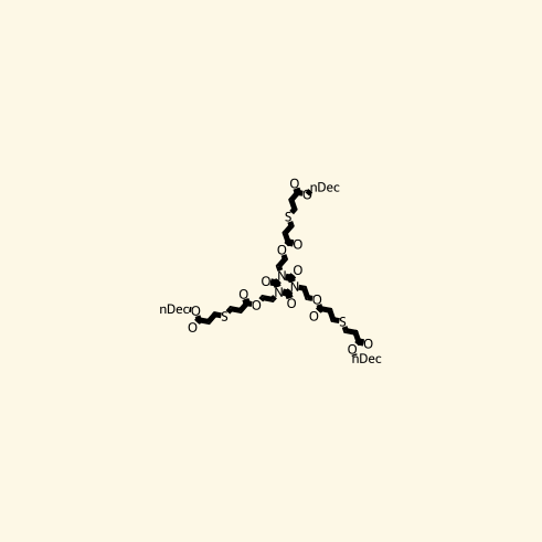 CCCCCCCCCCOC(=O)CCSCCC(=O)OCCn1c(=O)n(CCOC(=O)CCSCCC(=O)OCCCCCCCCCC)c(=O)n(CCOC(=O)CCSCCC(=O)OCCCCCCCCCC)c1=O